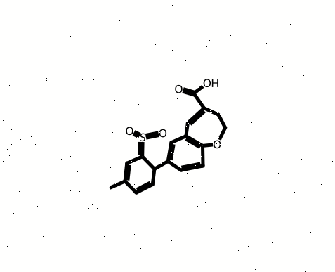 CC1=CC(=S(=O)=O)C(c2ccc3c(c2)C=C(C(=O)O)CCO3)C=C1